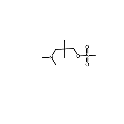 CN(C)CC(C)(C)COS(C)(=O)=O